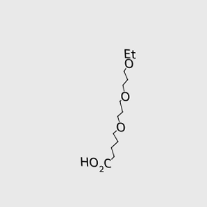 CCOCCCOCCCOCCCCC(=O)O